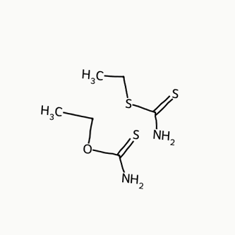 CCOC(N)=S.CCSC(N)=S